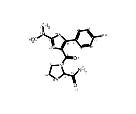 CN(C)c1nc(C(=O)N2CCSC2C(N)=O)c(-c2ccc(F)cc2)s1